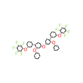 Fc1c(F)c(F)c(Oc2cccc(-c3ccc(Oc4ccc(-c5cccc(Oc6c(F)c(F)c(F)c(F)c6F)c5)c(Oc5ccccc5)c4)cc3Oc3ccccc3)c2)c(F)c1F